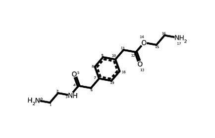 NCCNC(=O)Cc1ccc(CC(=O)OCCN)cc1